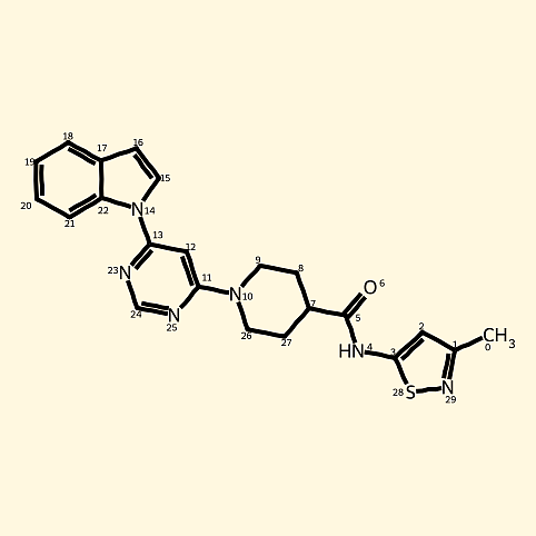 Cc1cc(NC(=O)C2CCN(c3cc(-n4ccc5ccccc54)ncn3)CC2)sn1